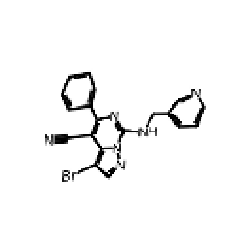 N#Cc1c(-c2ccccc2)nc(NCc2cccnc2)n2ncc(Br)c12